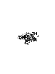 CC(C)(Cc1ccc(O)c(CC(C)(C)OCc2ccccc2)c1CC(C)(C)OCc1ccccc1)OCc1ccccc1